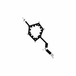 O=S=[C]c1ccc(F)cc1